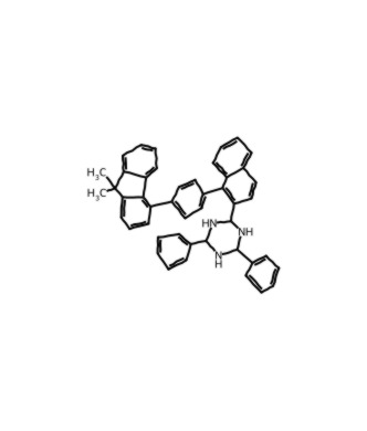 CC1(C)c2ccccc2-c2c(-c3ccc(-c4c(C5NC(c6ccccc6)NC(c6ccccc6)N5)ccc5ccccc45)cc3)cccc21